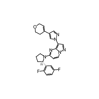 Fc1ccc(F)c([C@@H]2CCCN2c2ccn3ncc(-n4cc(C5=CCOCC5)cn4)c3n2)c1